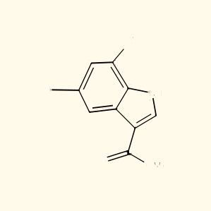 COC(=O)c1c[nH]c2c(Br)cc(Cl)cc12